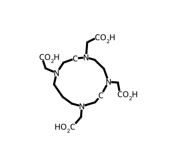 O=C(O)CN1CCCN(CC(=O)O)CCN(CC(=O)O)CCN(CC(=O)O)CC1